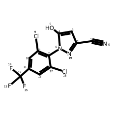 N#Cc1cc(O)n(-c2c(Cl)cc(C(F)(F)F)cc2Cl)n1